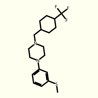 CSc1cccc(N2CCN(CC3CCC(C(F)(F)F)CC3)CC2)c1